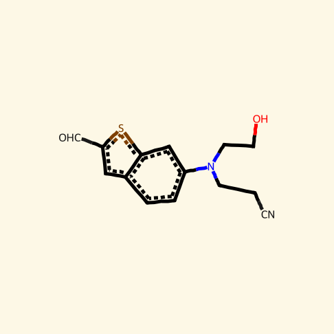 N#CCCN(CCO)c1ccc2cc(C=O)sc2c1